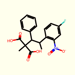 CC(c1ccc(F)cc1[N+](=O)[O-])C(c1ccccc1)C(C)(C(=O)O)C(=O)O